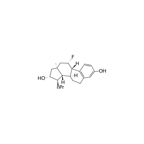 CCC[C@@H]1[C@H]2[C@@H]3CCc4cc(O)ccc4[C@H]3[C@@H](F)C[C@]2(C)C[C@H]1O